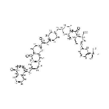 CC(F)(F)c1cccc(-c2cc(F)c(C(=O)N3CCC(CN4CCN(CC(=O)N5CCN(C(=O)c6cc(Cc7n[nH]c(=O)c8ccccc78)ccc6F)CC5)CC4)CC3)c(F)c2)c1